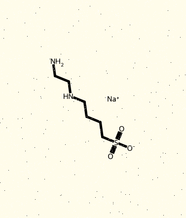 NCCNCCCCS(=O)(=O)[O-].[Na+]